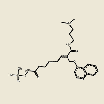 CN(C)CCCNC(=O)/C(=C/CCCCC(=O)NOP(=O)(O)O)COc1cccc2ccccc12